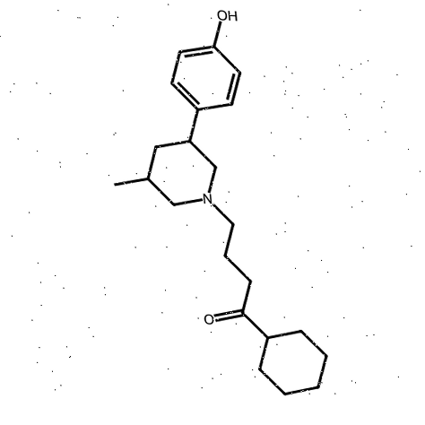 CC1CC(c2ccc(O)cc2)CN(CCCC(=O)C2CCCCC2)C1